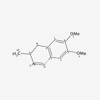 COc1cc2c(cc1OC)CC(C)N=C2